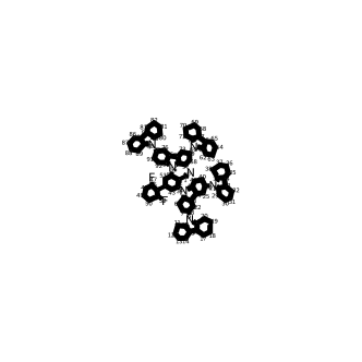 N#Cc1c(-n2c3ccc(-n4c5ccccc5c5ccccc54)cc3c3cc(-n4c5ccccc5c5ccccc54)ccc32)cc(-c2c(F)cccc2F)cc1-n1c2ccc(-n3c4ccccc4c4ccccc43)cc2c2cc(-n3c4ccccc4c4ccccc43)ccc21